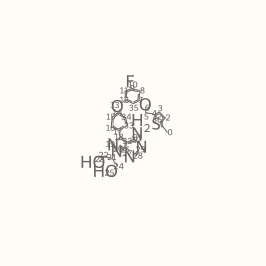 Cc1ccc(COc2cc(F)cc(Oc3ccc(-c4nn(C(CO)CO)c5ncnc(N)c45)cc3)c2)s1